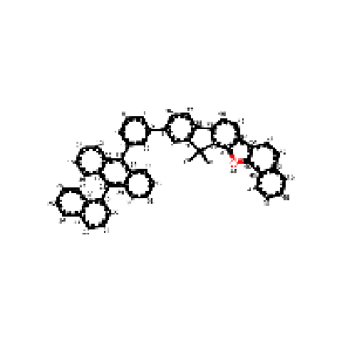 CC1(C)c2cc(-c3cccc(-c4c5ccccc5c(-c5cccc6ccccc56)c5ccccc45)c3)ccc2-c2ccc3c(oc4c5ccccc5ccc34)c21